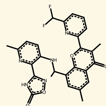 Cc1cc(C(C)Nc2ccc(C)nc2-c2noc(=O)[nH]2)c2oc(-c3cccc(C(F)F)n3)c(C)c(=O)c2c1